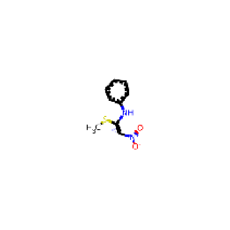 CS/C(=C/[N+](=O)[O-])Nc1ccccc1